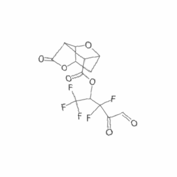 O=CC(=O)C(F)(F)C(OC(=O)C1C2CC3OC(=O)C1C3O2)C(F)(F)F